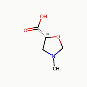 CN1CO[C@@H](C(=O)O)C1